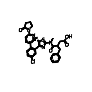 CN(C(=O)C(CC(=O)O)Cc1ccccc1)c1nc(-c2cc(Cl)ccc2-c2ccc(N3CCCC3=O)nc2)c(F)s1